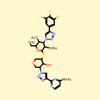 COC1C(SC2COCC(n3cc(-c4nccc(NC(C)=O)n4)nn3)C2O)OC(COC(C)=O)C(OC(C)=O)C1n1cc(-c2cc(F)c(F)c(F)c2)nn1